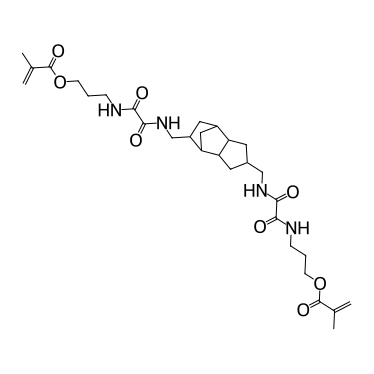 C=C(C)C(=O)OCCCNC(=O)C(=O)NCC1CC2C3CC(CNC(=O)C(=O)NCCCOC(=O)C(=C)C)C(C3)C2C1